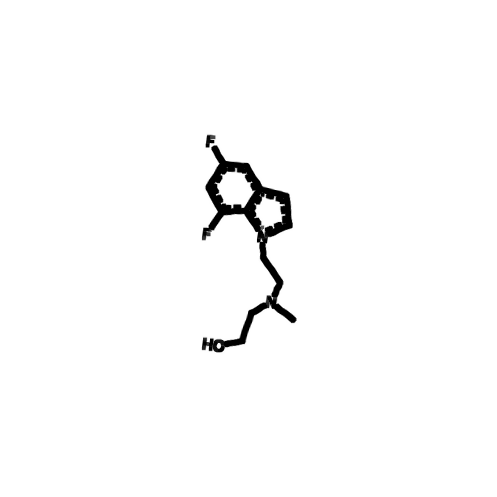 CN(CCO)CCn1ccc2cc(F)cc(F)c21